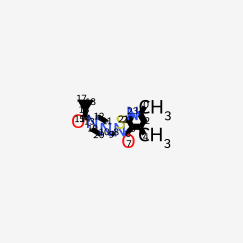 Cc1cc(C)c2c(=O)n(CN3CCN(C(=O)C4CC4)CC3)sc2n1